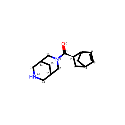 O=C([C@@H]1CC2C=CC1C2)N1CC2CNCC(C2)C1